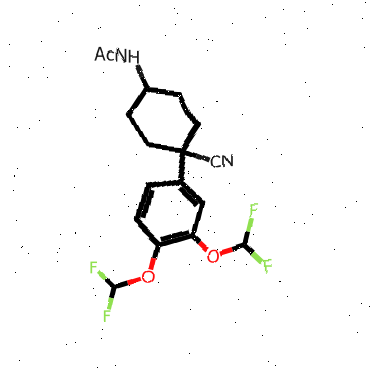 CC(=O)NC1CCC(C#N)(c2ccc(OC(F)F)c(OC(F)F)c2)CC1